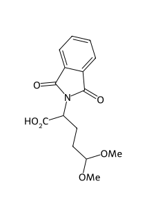 COC(CCC(C(=O)O)N1C(=O)c2ccccc2C1=O)OC